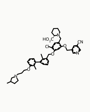 Cc1c(COc2cc(OCc3cncc(C#N)c3)c(CN3CCCC[C@H]3C(=O)O)cc2Cl)cccc1-c1cccc(OCCCN2CCC(C)C2)c1C